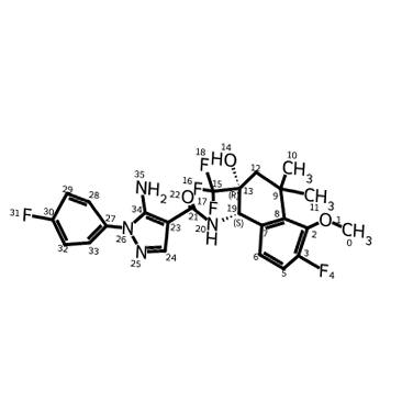 COc1c(F)ccc2c1C(C)(C)C[C@](O)(C(F)(F)F)[C@H]2NC(=O)c1cnn(-c2ccc(F)cc2)c1N